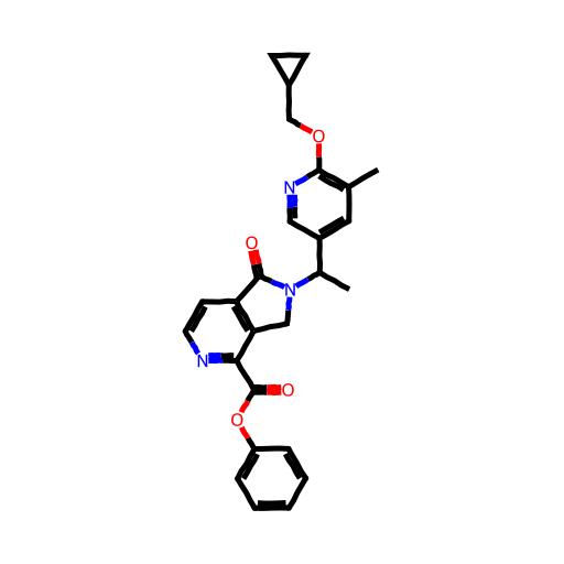 Cc1cc(C(C)N2Cc3c(ccnc3C(=O)Oc3ccccc3)C2=O)cnc1OCC1CC1